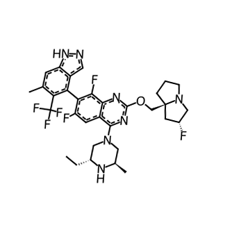 CC[C@@H]1CN(c2nc(OC[C@@]34CCCN3C[C@H](F)C4)nc3c(F)c(-c4c(C(F)(F)F)c(C)cc5[nH]ncc45)c(F)cc23)C[C@@H](C)N1